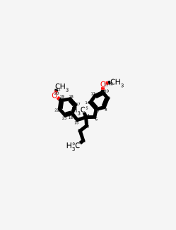 CCCCC(C)(Cc1ccc(OC)cc1)Cc1ccc(OC)cc1